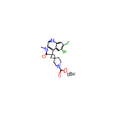 CN1C(=O)C2(CC3(CCN(C(=O)OC(C)(C)C)CC3)C2)c2c1cnc1cc(F)c(Br)cc21